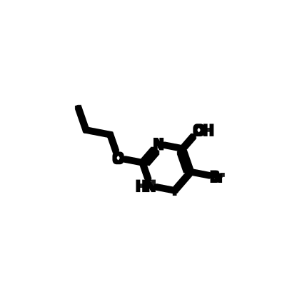 CCCOC1=NC(O)=C(Br)[CH]N1